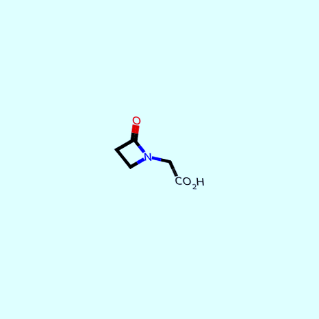 O=C(O)CN1CCC1=O